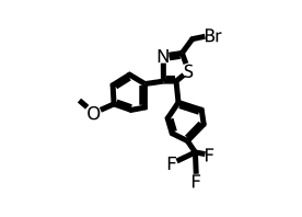 COc1ccc(-c2nc(CBr)sc2-c2ccc(C(F)(F)F)cc2)cc1